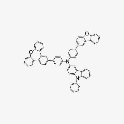 c1ccc(-n2c3ccccc3c3cc(N(c4ccc(-c5ccc6c(c5)-c5ccccc5Oc5ccccc5-6)cc4)c4ccc(-c5ccc6oc7ccccc7c6c5)cc4)ccc32)cc1